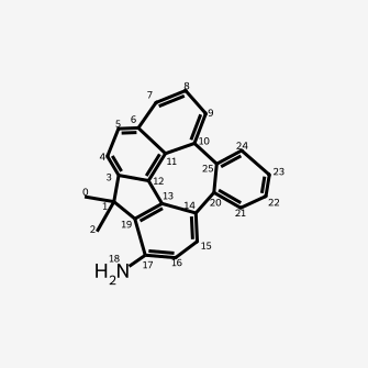 CC1(C)c2ccc3cccc4c3c2-c2c(ccc(N)c21)-c1ccccc1-4